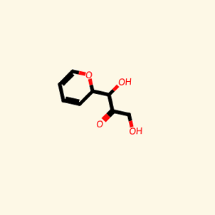 O=C(CO)C(O)C1C=CC=CO1